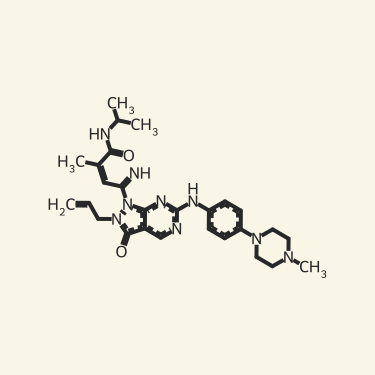 C=CCn1c(=O)c2cnc(Nc3ccc(N4CCN(C)CC4)cc3)nc2n1C(=N)/C=C(/C)C(=O)NC(C)C